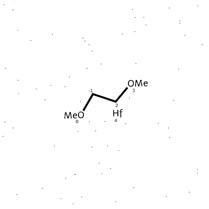 COCCOC.[Hf]